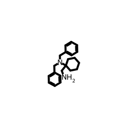 NCC1(N(Cc2ccccc2)Cc2ccccc2)CCCCC1